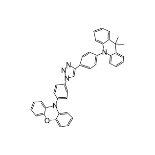 CC1(C)c2ccccc2N(c2ccc(-c3cn(-c4ccc(N5c6ccccc6Oc6ccccc65)cc4)nn3)cc2)c2ccccc21